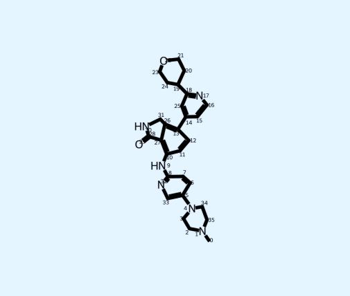 CN1CCN(c2ccc(Nc3ccc(-c4ccnc(C5CCOCC5)c4)c4c3C(=O)NC4)nc2)CC1